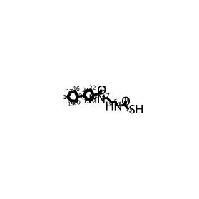 O=C(CS)NCCCNC(=O)c1ccc(-c2ccccc2)cc1